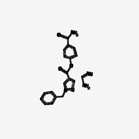 N=CN.NC(=O)c1ccc(OC(=O)c2cnn(Cc3ccccc3)c2)cc1